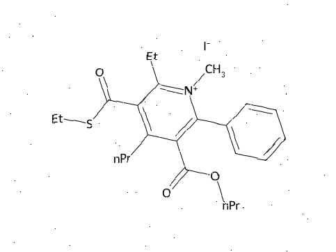 CCCOC(=O)c1c(CCC)c(C(=O)SCC)c(CC)[n+](C)c1-c1ccccc1.[I-]